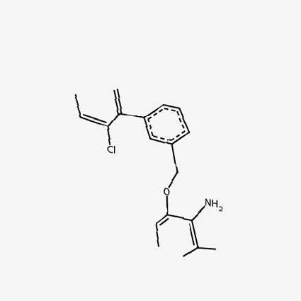 C=C(/C(Cl)=C\C)c1cccc(CO/C(=C/C)C(N)=C(C)C)c1